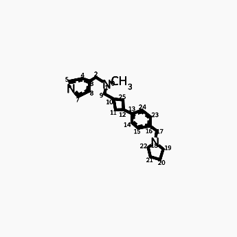 CN(Cc1ccncc1)CC1CC(c2ccc(CN3CCCC3)cc2)C1